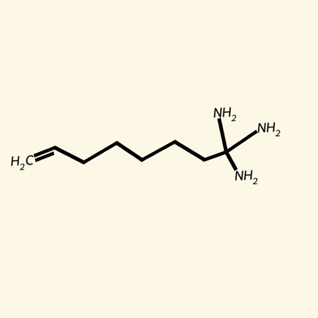 C=CCCCCCC(N)(N)N